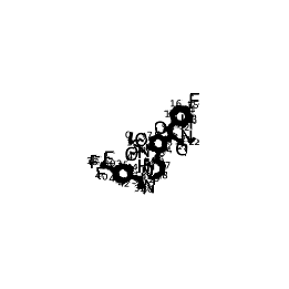 CCS(=O)(=O)Nc1cc2oc(-c3ccc(F)cc3)c(C(=O)NC)c2cc1-c1ccc2ncc(-c3ccc(C(F)(F)F)cc3)n2n1